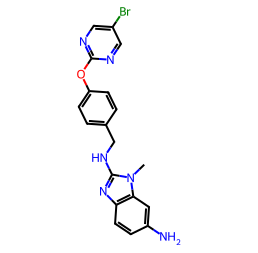 Cn1c(NCc2ccc(Oc3ncc(Br)cn3)cc2)nc2ccc(N)cc21